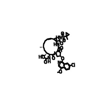 CC[C@@H]1C[C@H](C)CC/C=C\C2CC2(C(=O)NS(=O)(=O)C2(C)CC2)NC(=O)[C@@H]2C[C@@H](Oc3ncc(OC)c4ccc(Cl)cc34)CN2C(=O)[C@H]1NC(=O)O